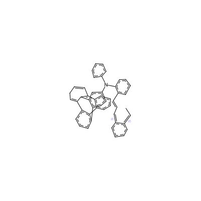 C/C=c1/cccc/c1=C/C=Cc1ccccc1N(c1ccccc1)c1ccc2c(c1)C1=C3C=CCC=C1c1cccc-2c1-c1ccccc13